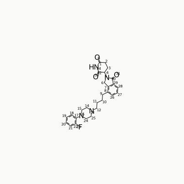 O=C1CCC(N2Cc3c(CCCCN4CCN(c5ccccc5F)CC4)cccc3C2=O)C(=O)N1